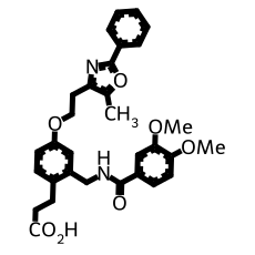 COc1ccc(C(=O)NCc2cc(OCCc3nc(-c4ccccc4)oc3C)ccc2CCC(=O)O)cc1OC